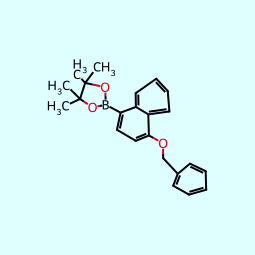 CC1(C)OB(c2ccc(OCc3ccccc3)c3ccccc23)OC1(C)C